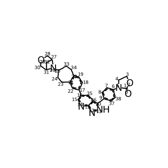 O=C1OCCN1c1ccc(-c2[nH]nc3ncc(-c4ccc5c(c4)CC[C@@H](N4C6COCC4C6)CC5)cc23)cc1